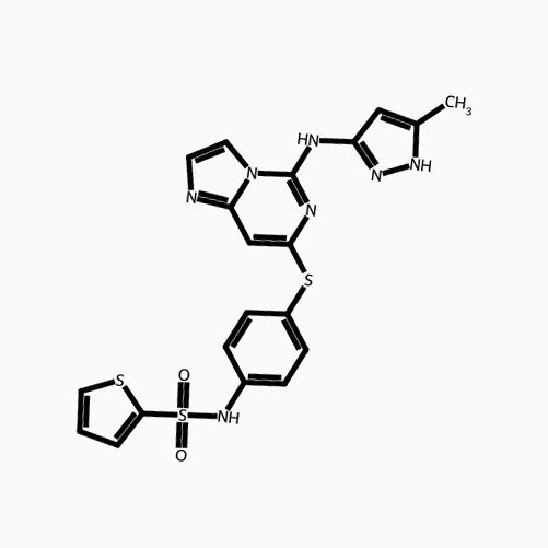 Cc1cc(Nc2nc(Sc3ccc(NS(=O)(=O)c4cccs4)cc3)cc3nccn23)n[nH]1